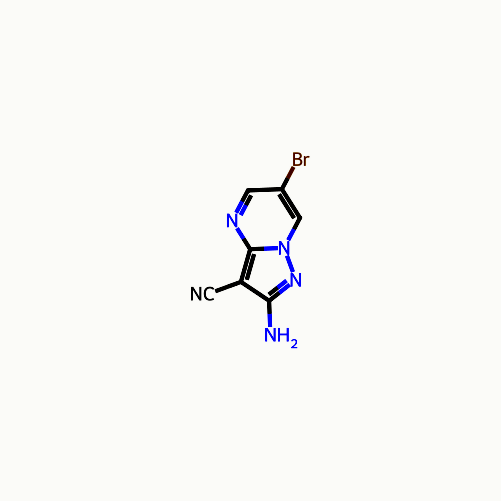 N#Cc1c(N)nn2cc(Br)cnc12